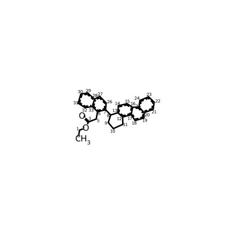 CCOC(=O)Cc1c(C2CCCc3c2ccc2c3ccc3ccccc32)ccc2ccccc12